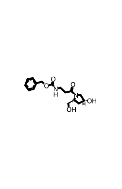 O=C(NCCC(=O)N1C[C@H](O)C[C@H]1CO)OCc1ccccc1